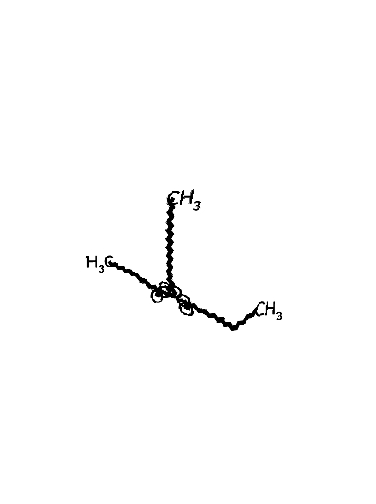 CCCCCC/C=C\CCCCCCCCCC(=O)OC[C@H](COC(=O)CCCCCCCCCCCCC)OC(=O)CCCCCCCCCCCCCCCCCCCCC